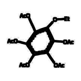 CCOc1c(OC(C)=O)c(OC(C)=O)c(OC(C)=O)c(OC(C)=O)c1OC(C)=O